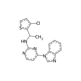 CC(Nc1nccc(-n2cnc3ccccc32)n1)c1sccc1Cl